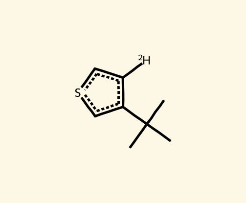 [2H]c1cscc1C(C)(C)C